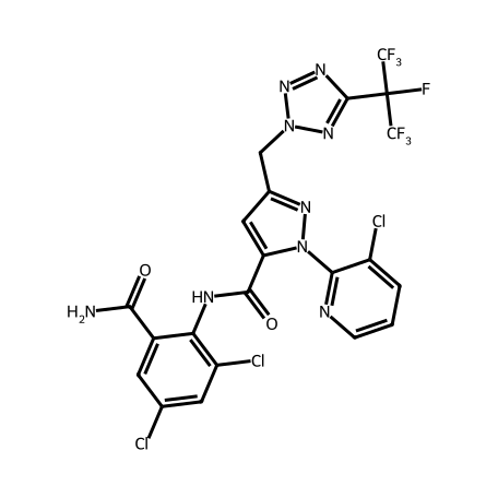 NC(=O)c1cc(Cl)cc(Cl)c1NC(=O)c1cc(Cn2nnc(C(F)(C(F)(F)F)C(F)(F)F)n2)nn1-c1ncccc1Cl